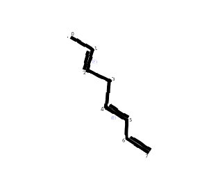 [CH2]/C=C/C/C=C/C=C